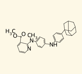 COC(=O)c1cccnc1N(C)c1ccc(Nc2ccc(C34CC5CC(CC(C5)C3)C4)cc2)cc1